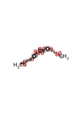 C=CC(=O)OCCCCOc1ccc(O[C@@H]2COC3C(OC(=O)c4ccc(OCCCCOC(=O)C=C)cc4)COC32)cc1